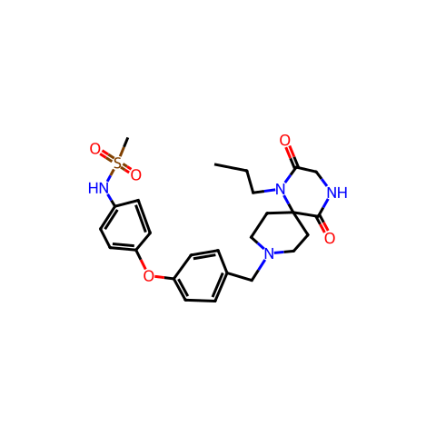 CCCN1C(=O)CNC(=O)C12CCN(Cc1ccc(Oc3ccc(NS(C)(=O)=O)cc3)cc1)CC2